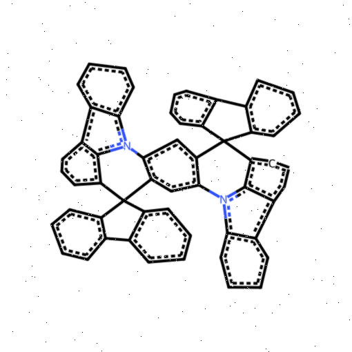 c1ccc2c(c1)-c1ccccc1C21c2cc3c(cc2-n2c4ccccc4c4cccc1c42)C1(c2ccccc2-c2ccccc21)c1cccc2c4ccccc4n-3c12